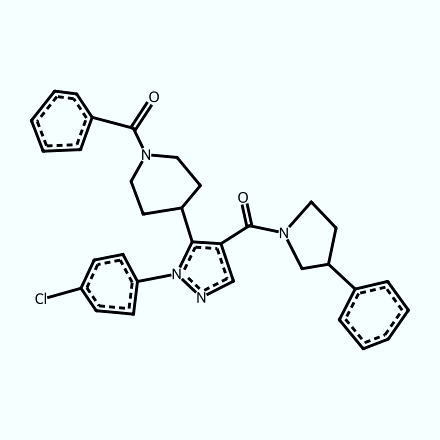 O=C(c1ccccc1)N1CCC(c2c(C(=O)N3CCC(c4ccccc4)C3)cnn2-c2ccc(Cl)cc2)CC1